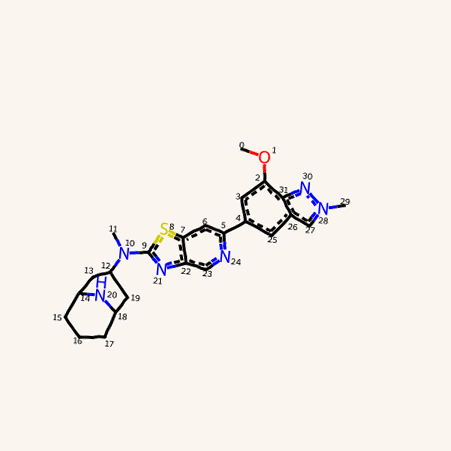 COc1cc(-c2cc3sc(N(C)C4CC5CCCC(C4)N5)nc3cn2)cc2cn(C)nc12